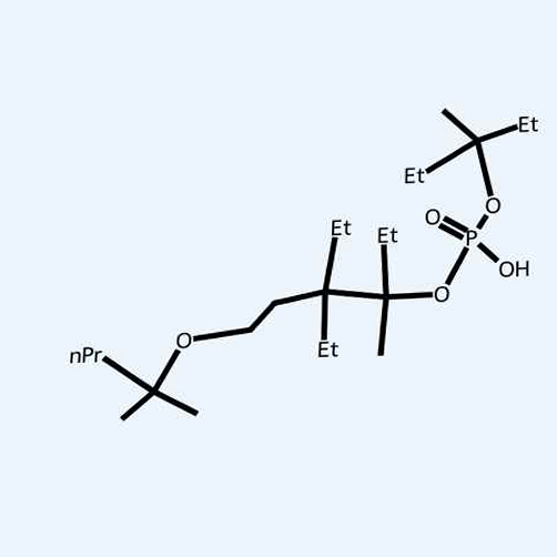 CCCC(C)(C)OCCC(CC)(CC)C(C)(CC)OP(=O)(O)OC(C)(CC)CC